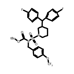 CC(C)(C)OC(=O)N(Cc1ccc(OC(F)(F)F)cc1)S(=O)(=O)N1CCCC(C(c2ccc(F)cc2)c2ccc(F)cc2)C1